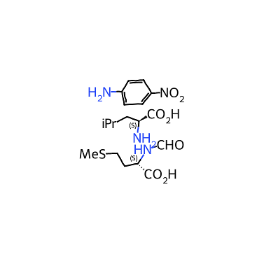 CC(C)C[C@H](N)C(=O)O.CSCC[C@H](NC=O)C(=O)O.Nc1ccc([N+](=O)[O-])cc1